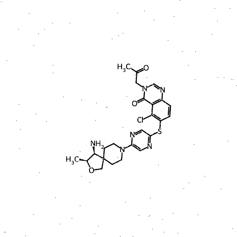 CC(=O)Cn1cnc2ccc(Sc3cnc(N4CCC5(CC4)CO[C@@H](C)[C@H]5N)cn3)c(Cl)c2c1=O